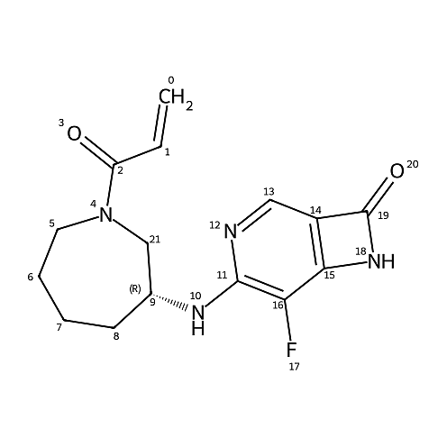 C=CC(=O)N1CCCC[C@@H](Nc2ncc3c(c2F)NC3=O)C1